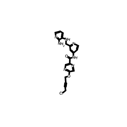 Nc1ncccc1NCc1cc(NC(=O)c2cnc(OCC#CCCl)cn2)ccn1